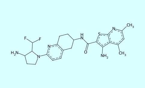 Cc1cc(C)c2c(N)c(C(=O)NC3CCc4nc(N5CCC(N)C5C(F)F)ccc4C3)sc2n1